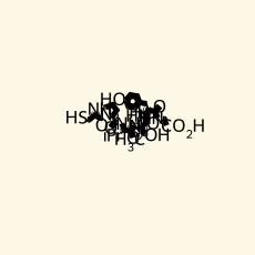 CC(C)[C@H](NC(=O)[C@@H]1CCCN1C(=O)[C@@H](N)CS)C(=O)N[C@H](C(=O)N[C@@H](Cc1ccc(O)cc1)C(=O)NCC(=O)O)[C@@H](C)O